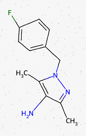 Cc1nn(Cc2ccc(F)cc2)c(C)c1N